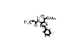 C=CC(=O)Nc1nc(-c2ccccc2)sc1C(=O)OC